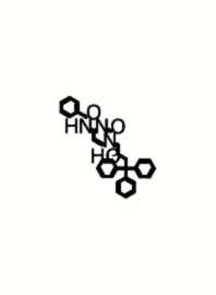 O=C(Nc1ccn(C[C@@H](O)CC(c2ccccc2)(c2ccccc2)c2ccccc2)c(=O)n1)c1ccccc1